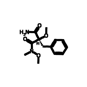 CON(C)C(=O)[C@](Cc1ccccc1)(OC)C(N)=O